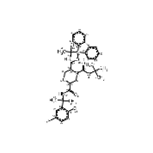 CC(C)(C)OC(=O)N1C[C@@H](C(=O)NC(C)(C)c2cc(F)ccc2Cl)OC[C@H]1CO[Si](c1ccccc1)(c1ccccc1)C(C)(C)C